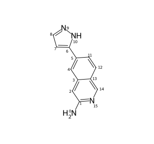 Nc1cc2cc(-c3ccn[nH]3)ccc2cn1